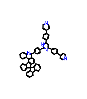 c1ccc2c(c1)-c1ccccc1C21c2ccccc2-c2c1ccc1c(-c3ccc(-c4nc(-c5ccc(-c6ccncc6)cc5)cc(-c5ccc(-c6ccncc6)cc5)n4)cc3)nc3ccccc3c21